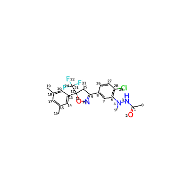 CC(=O)NN(C)c1cc(C2=NOC(c3cc(C)cc(C)c3)(C(F)(F)F)C2)ccc1Cl